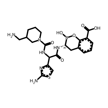 NCC1CCCN(C(=O)NC(C(=O)N[C@H]2Cc3cccc(C(=O)O)c3OB2O)c2csc(N)n2)C1